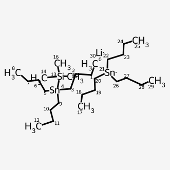 CCC[CH2][Sn]([CH2]CCC)([CH2]CCC)[Si](C)(C)C.CCC[CH2][Sn]([CH2]CCC)[CH2]CCC.[Li]